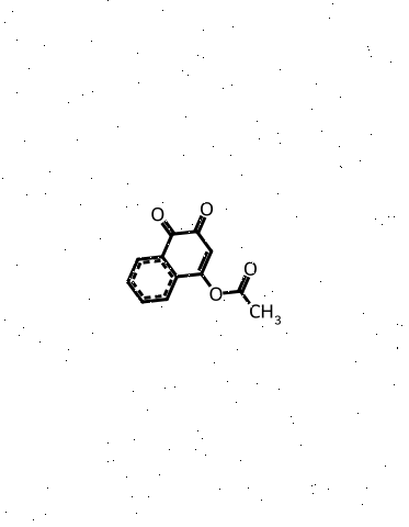 CC(=O)OC1=CC(=O)C(=O)c2ccccc21